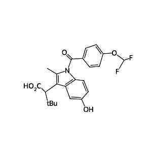 Cc1c(C(C(=O)O)C(C)(C)C)c2cc(O)ccc2n1C(=O)c1ccc(OC(F)F)cc1